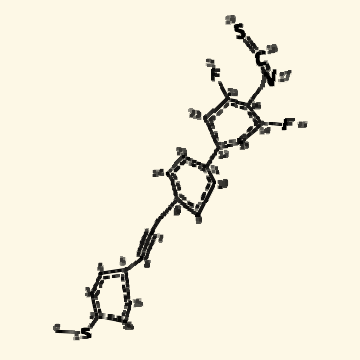 CSc1ccc(C#Cc2ccc(-c3cc(F)c(N=C=S)c(F)c3)cc2)cc1